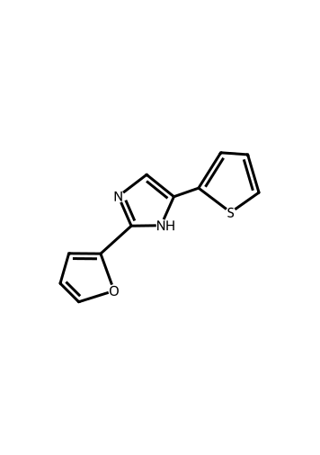 c1coc(-c2ncc(-c3cccs3)[nH]2)c1